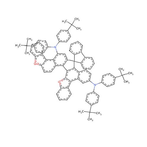 CC(C)(C)c1ccc(N(c2ccc(C(C)(C)C)cc2)c2ccc3c4c(c5oc6ccccc6c5c3c2)-c2c(cc(N(c3ccc(C(C)(C)C)cc3)c3ccc(C(C)(C)C)cc3)c3c2ccc2oc5ccccc5c23)C42c3ccccc3-c3ccccc32)cc1